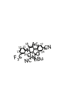 CCCCN(CC#N)C(=O)C1C(=O)N(c2cccc(C(F)(F)F)c2)C(C)=C(C(C)=O)C1c1ccc(C#N)cc1